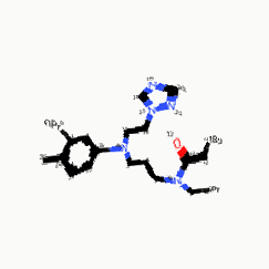 CCCc1cc(N(CCCN(CC(C)C)C(=O)CC(C)(C)C)CCn2cncn2)ccc1C